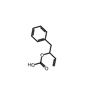 C=CC(Cc1ccccc1)OC(=O)O